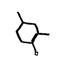 CC1=C(Cl)CCC(C)C1